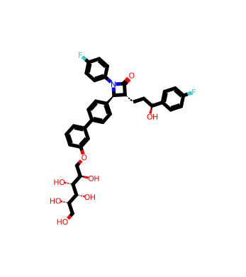 O=C1[C@H](CC[C@H](O)c2ccc(F)cc2)[C@@H](c2ccc(-c3cccc(OC[C@@H](O)[C@@H](O)[C@H](O)[C@@H](O)CO)c3)cc2)N1c1ccc(F)cc1